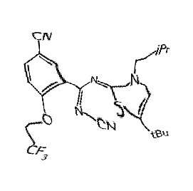 CC(C)Cn1cc(C(C)(C)C)s/c1=N\C(=NC#N)c1cc(C#N)ccc1OCC(F)(F)F